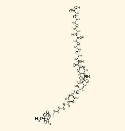 CC(C)(C)OC(=O)CCCCCCCc1ccc(COc2ccc(S(=O)(=O)Nc3cnc(C(=O)NCCOCCOCC(=O)NCCOCCOCC(=O)O)nc3)cc2)cc1